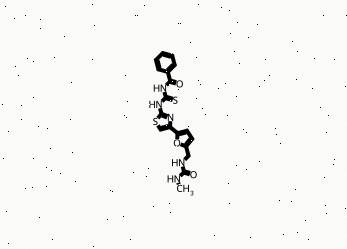 CNC(=O)NCc1ccc(-c2csc(NC(=S)NC(=O)c3ccccc3)n2)o1